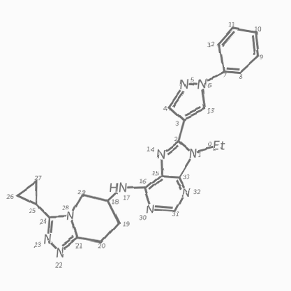 CCn1c(-c2cnn(-c3ccccc3)c2)nc2c(NC3CCc4nnc(C5CC5)n4C3)ncnc21